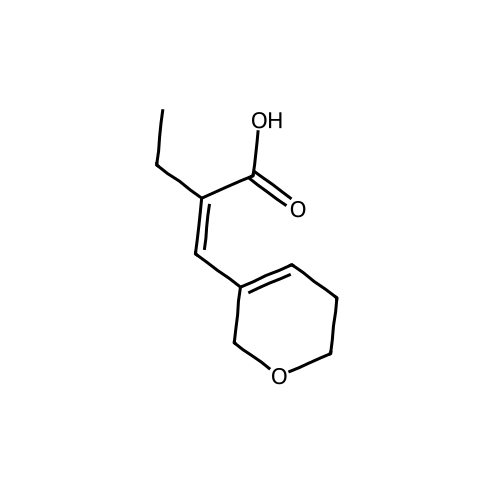 CCC(=CC1=CCCOC1)C(=O)O